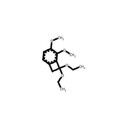 CCOC1(OCC)Cc2ccc(OC)c(OC)c21